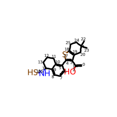 C=C(O)c1c(-c2cccc3c2CCCC3NS)sc2c1CC(C)(C)CC2